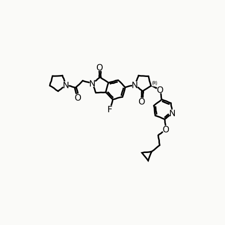 O=C(CN1Cc2c(F)cc(N3CC[C@@H](Oc4ccc(OCCC5CC5)nc4)C3=O)cc2C1=O)N1CCCC1